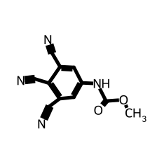 COC(=O)Nc1cc(C#N)c(C#N)c(C#N)c1